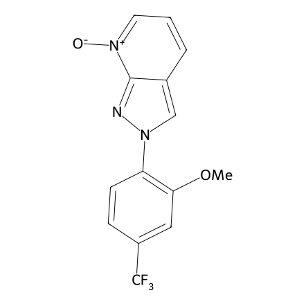 COc1cc(C(F)(F)F)ccc1-n1cc2ccc[n+]([O-])c2n1